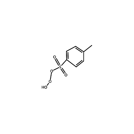 Cc1ccc(S(=O)(=O)OOO)cc1